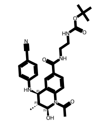 CC(=O)N1c2ccc(C(=O)NCCNC(=O)OC(C)(C)C)cc2[C@H](Nc2ccc(C#N)cc2)[C@@H](C)[C@@H]1O